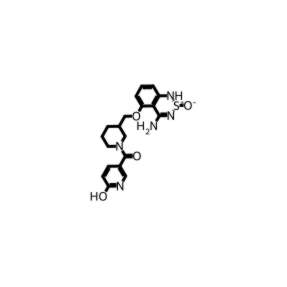 NC1=N[S+]([O-])Nc2cccc(OCC3CCCN(C(=O)c4ccc(O)nc4)C3)c21